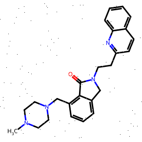 CN1CCN(Cc2cccc3c2C(=O)N(CCc2ccc4ccccc4n2)C3)CC1